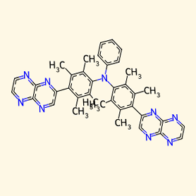 Cc1c(C)c(N(c2ccccc2)c2c(C)c(C)c(-c3cnc4nccnc4n3)c(C)c2C)c(C)c(C)c1-c1cnc2nccnc2n1